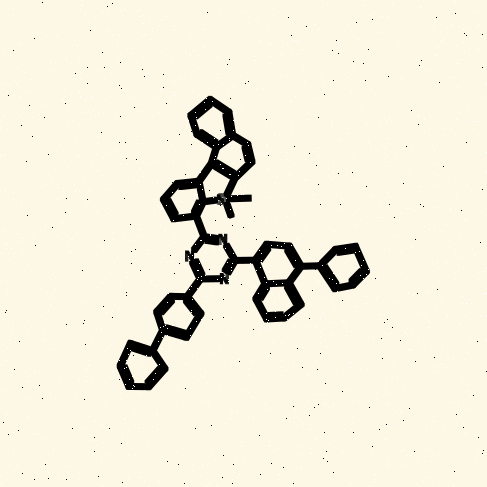 C[Si]1(C)c2ccc3ccccc3c2-c2cccc(-c3nc(-c4ccc(-c5ccccc5)cc4)nc(-c4ccc(-c5ccccc5)c5ccccc45)n3)c21